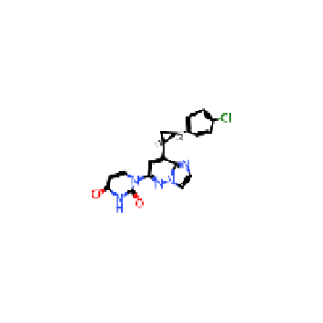 O=c1ccn(-c2cc([C@H]3C[C@@H]3c3ccc(Cl)cc3)c3nccn3n2)c(=O)[nH]1